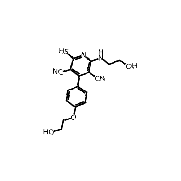 N#Cc1c(S)nc(NCCO)c(C#N)c1-c1ccc(OCCO)cc1